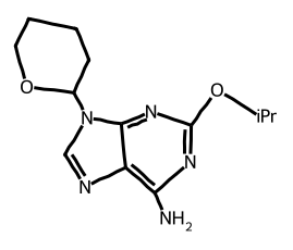 CC(C)Oc1nc(N)c2ncn(C3CCCCO3)c2n1